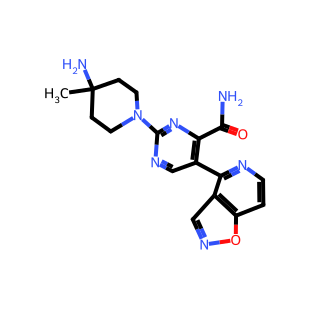 CC1(N)CCN(c2ncc(-c3nccc4oncc34)c(C(N)=O)n2)CC1